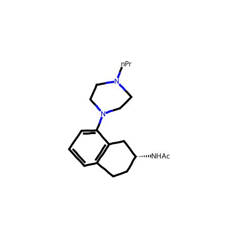 CCCN1CCN(c2cccc3c2C[C@H](NC(C)=O)CC3)CC1